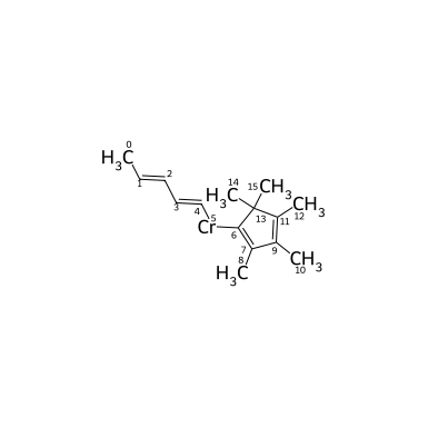 CC=CC=[CH][Cr][C]1=C(C)C(C)=C(C)C1(C)C